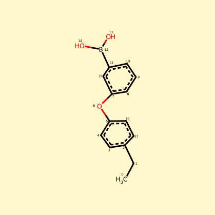 CCc1ccc(Oc2cccc(B(O)O)c2)cc1